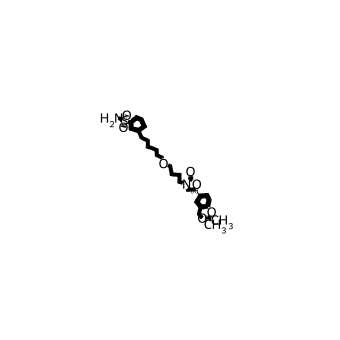 CC1(C)OCc2cc([C@@H]3CN(CCCCOCCCCCCc4cccc(S(N)(=O)=O)c4)C(=O)O3)ccc2O1